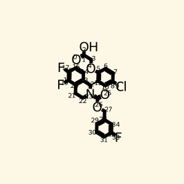 O=C(O)COc1ccc(Cl)cc1[C@@H]1c2ccc(F)c(F)c2CCN1C(=O)OCc1cccc(F)c1